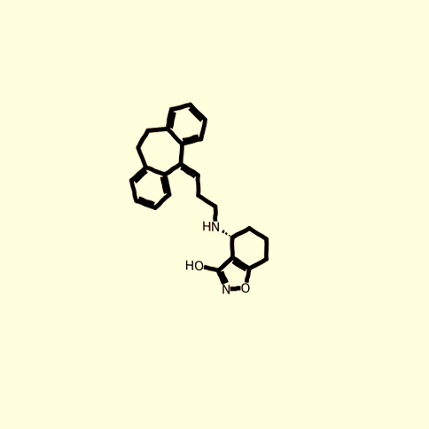 Oc1noc2c1[C@H](NCCC=C1c3ccccc3CCc3ccccc31)CCC2